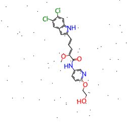 COC(=CC=Cc1cc2cc(Cl)c(Cl)cc2[nH]1)C(=O)Nc1ccc(OCCO)nc1